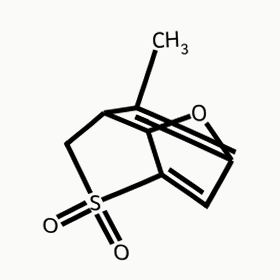 Cc1c2c3oc1cc3S(=O)(=O)C2